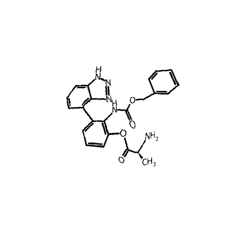 C[C@H](N)C(=O)Oc1cccc(-c2cccc3[nH]nnc23)c1NC(=O)OCc1ccccc1